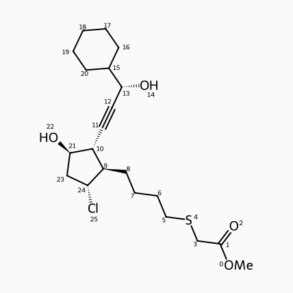 COC(=O)CSCCCC[C@@H]1[C@@H](C#C[C@@H](O)C2CCCCC2)[C@H](O)C[C@H]1Cl